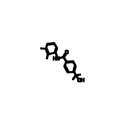 Cc1cccc(NC(=O)c2ccc(C(C)(C)O)cc2)c1C